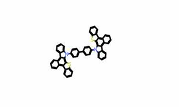 c1ccc2c(c1)sc1c2c2ccccc2c2c3ccccc3n(-c3ccc(-c4ccc(-n5c6ccccc6c6c7ccccc7c7c8ccccc8sc7c65)cc4)cc3)c12